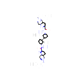 Cc1c(NC(=O)c2ccc3c(n2)CCN(CC(=O)O)C3)cccc1-c1cccc(NC(=O)c2ccc3c(n2)CCN(CC(=O)O)C3)c1C